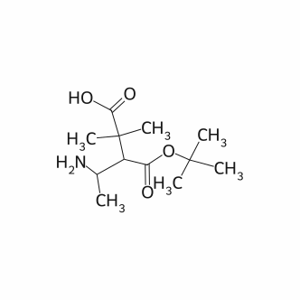 CC(N)C(C(=O)OC(C)(C)C)C(C)(C)C(=O)O